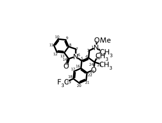 CON(C)CC1=C(N2Cc3ccccc3C2=O)c2cc(C(F)(F)F)ccc2OC1(C)C